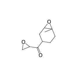 CC12CCC(C(=O)C3CO3)CC1O2